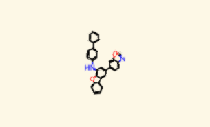 c1ccc(-c2ccc(Nc3cc(-c4ccc5ncoc5c4)cc4c3oc3ccccc34)cc2)cc1